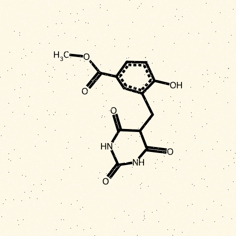 COC(=O)c1ccc(O)c(CC2C(=O)NC(=O)NC2=O)c1